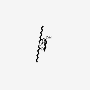 CC=CC=CCO.CCCCCCC(O)COCC(O)CCCCCC